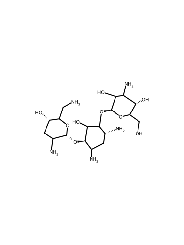 NCC1O[C@H](O[C@@H]2C(N)C[C@@H](N)C(O[C@@H]3OC(CO)[C@@H](O)C(N)C3O)C2O)C(N)C[C@@H]1O